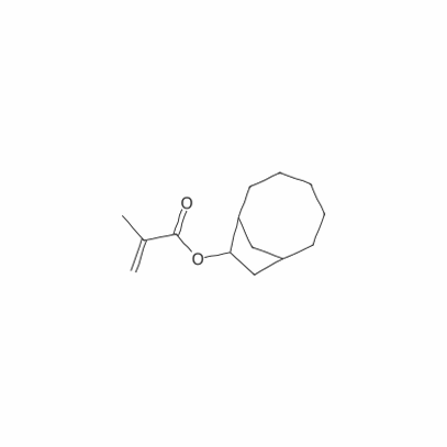 C=C(C)C(=O)OC1CC2CCCCCC1C2